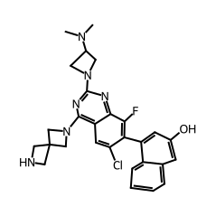 CN(C)C1CN(c2nc(N3CC4(CNC4)C3)c3cc(Cl)c(-c4cc(O)cc5ccccc45)c(F)c3n2)C1